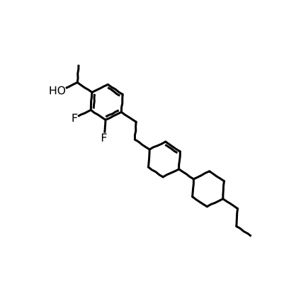 CCCC1CCC(C2C=CC(CCc3ccc(C(C)O)c(F)c3F)CC2)CC1